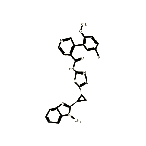 COc1ccc(F)cc1-c1cnccc1C(=O)Nc1nnc([C@@H]2C[C@H]2c2nc3ccccc3n2C)s1